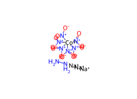 NN.O=[N+]([O-])[Co-3]([N+](=O)[O-])([N+](=O)[O-])([N+](=O)[O-])([N+](=O)[O-])[N+](=O)[O-].[Na+].[Na+].[Na+]